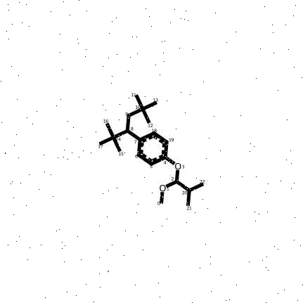 COC(Oc1ccc(C(CC(C)(C)C)C(C)(C)C)cc1)C(C)C